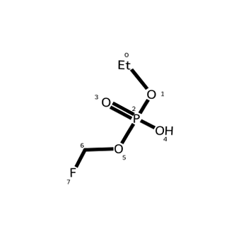 CCOP(=O)(O)OCF